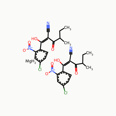 CCC(C)C(=O)C(C#N)=C(O)c1ccc(Cl)cc1[N+](=O)[O-].CCC(C)C(=O)C(C#N)=C(O)c1ccc(Cl)cc1[N+](=O)[O-].[MgH2]